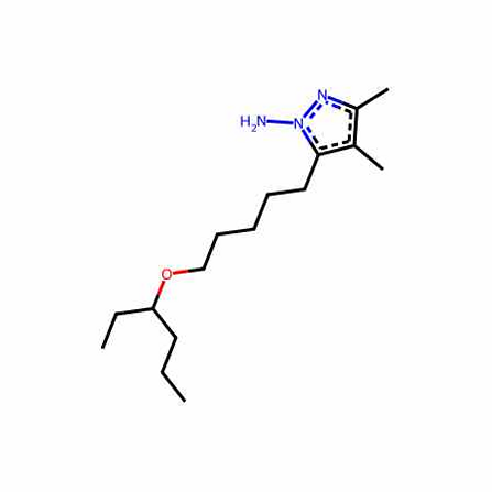 CCCC(CC)OCCCCCc1c(C)c(C)nn1N